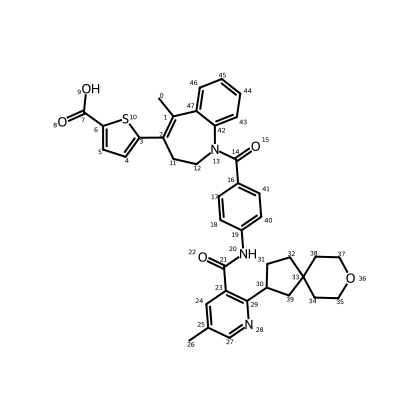 CC1=C(c2ccc(C(=O)O)s2)CCN(C(=O)c2ccc(NC(=O)c3cc(C)cnc3C3CCC4(CCOCC4)C3)cc2)c2ccccc21